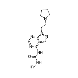 CC(C)NC(=O)Nc1ncnc2c1cnn2CCN1CCCC1